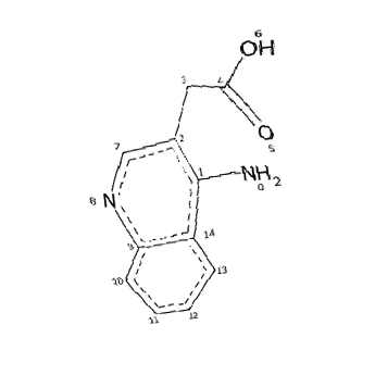 Nc1c(CC(=O)O)cnc2ccccc12